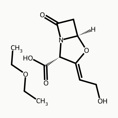 CCOCC.O=C(O)[C@H]1/C(=C/CO)O[C@@H]2CC(=O)N21